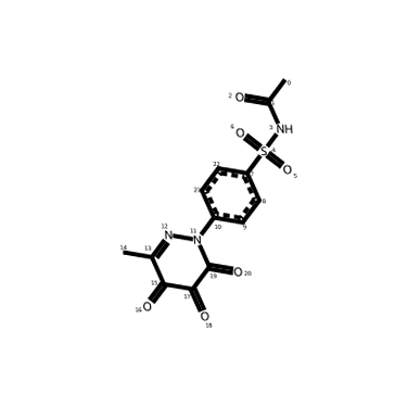 CC(=O)NS(=O)(=O)c1ccc(N2N=C(C)C(=O)C(=O)C2=O)cc1